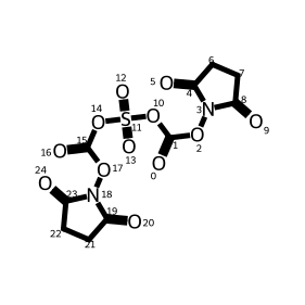 O=C(ON1C(=O)CCC1=O)OS(=O)(=O)OC(=O)ON1C(=O)CCC1=O